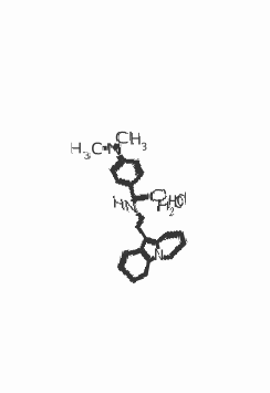 CN(C)c1ccc(C(=O)NCCc2c3c(n4ccccc24)CCCC3)cc1.Cl.O